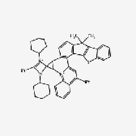 CC(C)C1=[N+](C2CCCCC2)C2(C3c4ccc5c(c4-c4cc(C(C)C)c6ccccc6[n+]4C32)-c2sc3ccccc3c2C5(C)C)N1C1CCCCC1